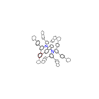 c1ccc(-c2ccc3c(N(c4cc(-c5ccc(C6CCCCC6)cc5)cc(-c5ccc(C6CCCCC6)cc5)c4)c4cc(C5CC6CC5C5CCC6C5)cc(C5CC6CC5C5CCCC65)c4)c4ccccc4c(N(c4cc(-c5ccc(C6CCCCC6)cc5)cc(-c5ccc(C6CCCCC6)cc5)c4)c4cc(C5CC6CC5C5CCCC65)cc(C5CC6CC5C5CCCC65)c4)c3c2)cc1